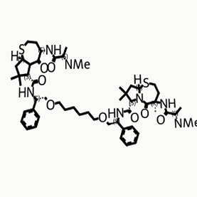 CN[C@@H](C)C(=O)N[C@H]1CCS[C@H]2CC(C)(C)[C@@H](C(=O)N[C@H](COCCCCCCOC[C@@H](NC(=O)[C@H]3N4C(=O)[C@](C)(NC(=O)[C@H](C)NC)CCS[C@H]4CC3(C)C)c3ccccc3)c3ccccc3)C2C1=O